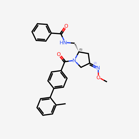 CO/N=C1/C[C@@H](CNC(=O)c2ccccc2)N(C(=O)c2ccc(-c3ccccc3C)cc2)C1